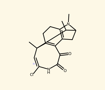 CC1C2CC3=C(CCC4=C3C(=O)C(=O)N/C(Cl)=C\C41C)N2C